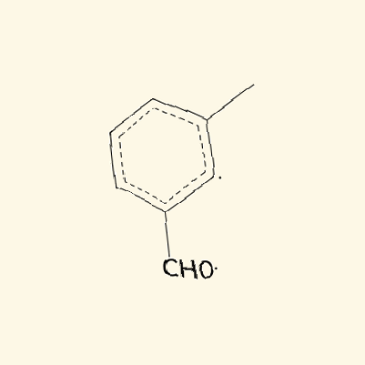 Cc1[c]c([C]=O)ccc1